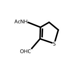 CC(=O)NC1=C(C=O)SCC1